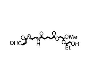 CCC(CO)OC(COC(=O)CCCC(=O)NCCN(C)C(=O)/C=C\C=O)OC